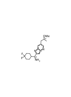 CO[C@@H](C)Cc1cnn2cc([C@@H](N)C3CCC(F)(F)CC3)nc2c1